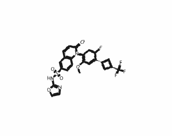 COC1=C(n2c(=O)ccc3cc(S(=O)(=O)Nc4ncco4)ccc32)CC(F)C([C@H]2C[C@H](C(F)(F)F)C2)=C1